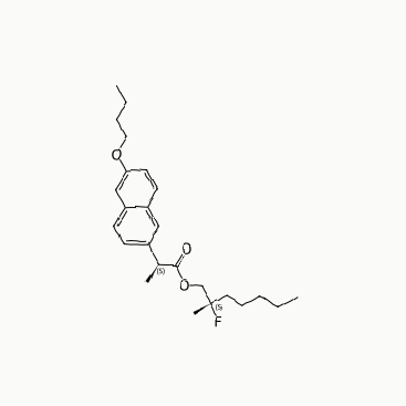 CCCCC[C@](C)(F)COC(=O)[C@@H](C)c1ccc2cc(OCCCC)ccc2c1